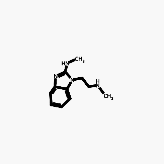 CNCCn1c(NC)nc2ccccc21